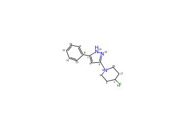 FC1CCN(c2cc(-c3ccccc3)[nH]n2)CC1